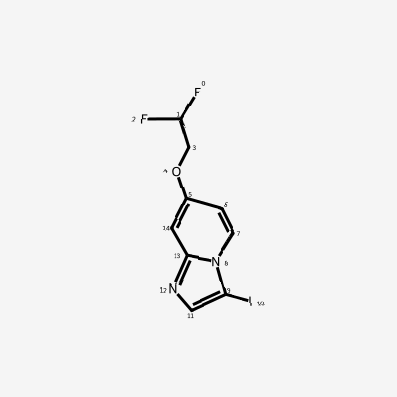 FC(F)COc1ccn2c(I)cnc2c1